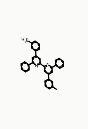 Bc1cccc(-c2cc(-c3ccccc3)nc(-c3cc(-c4cccc(C)c4)cc(-c4ccccc4)n3)c2)c1